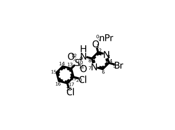 CCCOc1nc(Br)cnc1NS(=O)(=O)c1cccc(Cl)c1Cl